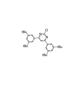 CC(C)(C)c1cc(-c2cc(-c3cc(C(C)(C)C)cc(C(C)(C)C)c3)nc(Cl)n2)cc(C(C)(C)C)c1